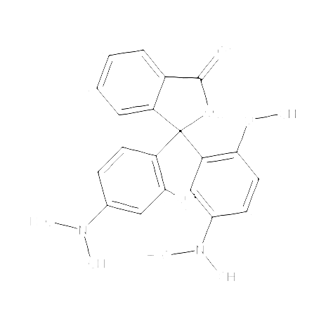 COc1ccc(N(C)C)cc1C1(c2ccc(N(C)C)cc2O)OC(=O)c2ccccc21